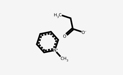 CCC(=O)[O-].C[n+]1ccccc1